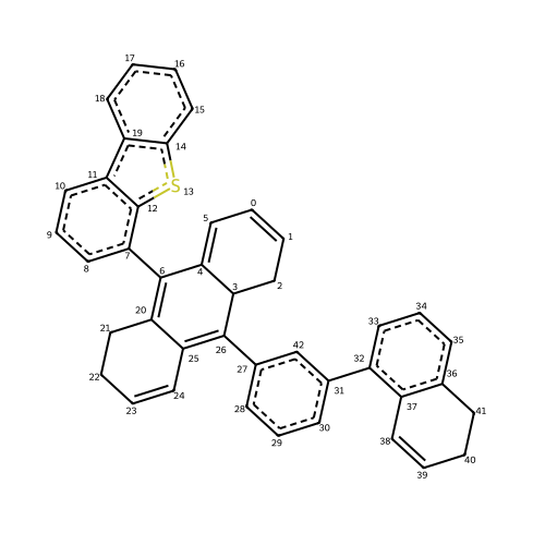 C1=CCC2C(=C1)C(c1cccc3c1sc1ccccc13)=C1CCC=CC1=C2c1cccc(-c2cccc3c2C=CCC3)c1